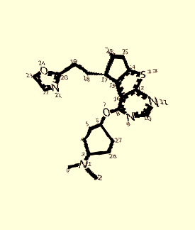 CN(C)C1CCC(Oc2ncnc3sc4c(c23)[C@@H](CCc2ncco2)CC4)CC1